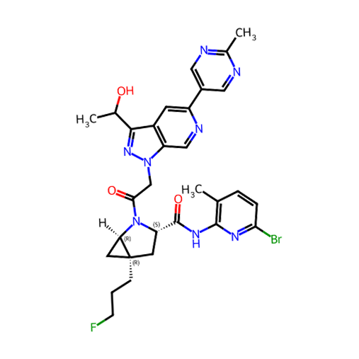 Cc1ncc(-c2cc3c(C(C)O)nn(CC(=O)N4[C@H](C(=O)Nc5nc(Br)ccc5C)C[C@@]5(CCCF)C[C@@H]45)c3cn2)cn1